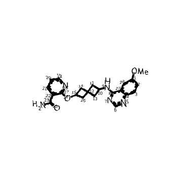 COc1ccc2ncnc(NC3CC4(C3)CC(Oc3ncccc3C(N)=O)C4)c2c1